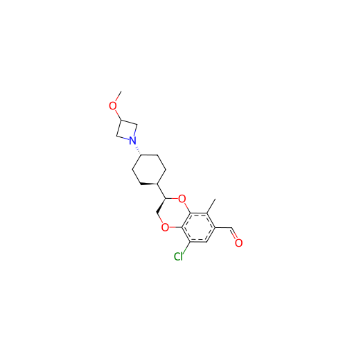 COC1CN([C@H]2CC[C@H]([C@@H]3COc4c(Cl)cc(C=O)c(C)c4O3)CC2)C1